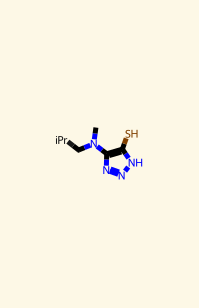 CC(C)CN(C)c1nn[nH]c1S